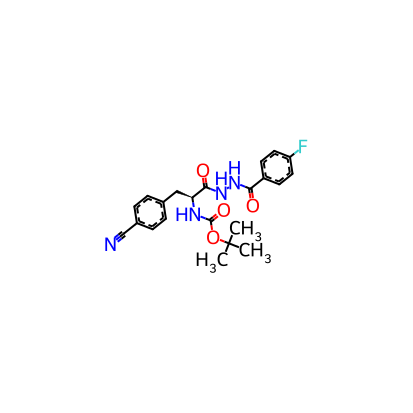 CC(C)(C)OC(=O)N[C@@H](Cc1ccc(C#N)cc1)C(=O)NNC(=O)c1ccc(F)cc1